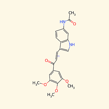 COc1cc(C(=O)/C=C/c2c[nH]c3cc(NC(C)=O)ccc23)cc(OC)c1OC